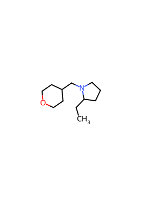 CCC1CCCN1CC1CCOCC1